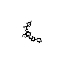 Fc1cnc(Nc2nc3c(s2)CCN(Cc2ccc(N4CCOCC4)cn2)c2n[nH]cc2-3)nc1